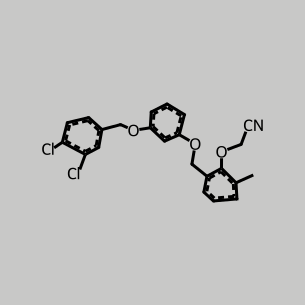 Cc1cccc(COc2cccc(OCc3ccc(Cl)c(Cl)c3)c2)c1OCC#N